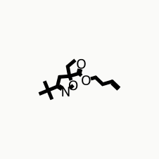 C=CCCOC(=O)C1(CC)CC(C(C)(C)C)=NO1